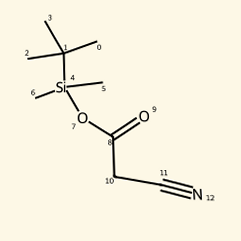 CC(C)(C)[Si](C)(C)OC(=O)CC#N